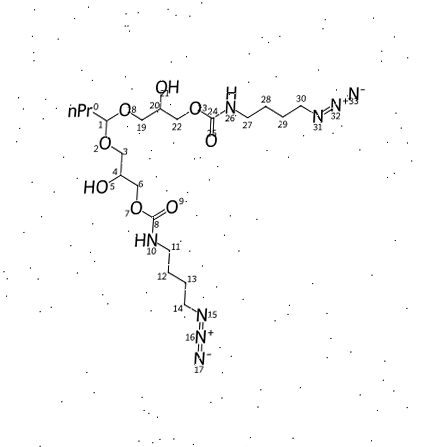 CCCC(OCC(O)COC(=O)NCCCCN=[N+]=[N-])OCC(O)COC(=O)NCCCCN=[N+]=[N-]